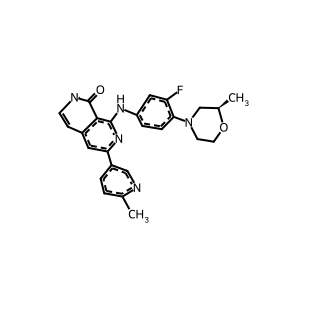 Cc1ccc(-c2cc3c(c(Nc4ccc(N5CCO[C@H](C)C5)c(F)c4)n2)C(=O)[N]C=C3)cn1